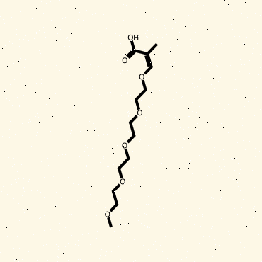 COCCOCCOCCOCCOC=C(C)C(=O)O